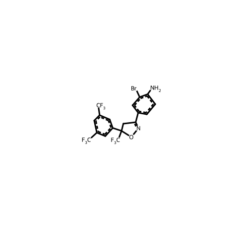 Nc1ccc(C2=NOC(c3cc(C(F)(F)F)cc(C(F)(F)F)c3)(C(F)(F)F)C2)cc1Br